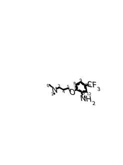 CN(C)CCCOc1ccc(C(F)(F)F)cc1N